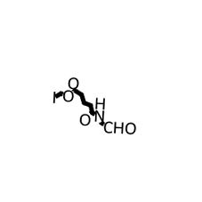 O=CCNC(=O)CCCC(=O)OCI